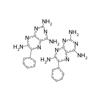 Nc1nc(N)c2nc(-c3ccccc3)c(N)nc2n1.Nc1nc(N)c2nc(-c3ccccc3)c(N)nc2n1